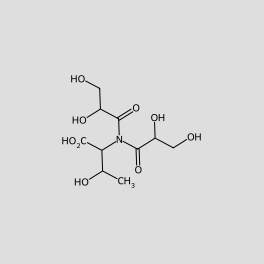 CC(O)C(C(=O)O)N(C(=O)C(O)CO)C(=O)C(O)CO